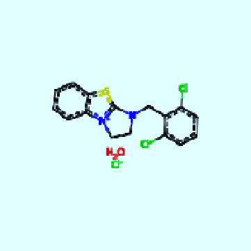 Clc1cccc(Cl)c1CN1CC[n+]2c1sc1ccccc12.O.[Cl-]